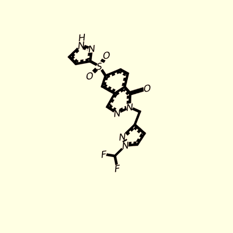 O=c1c2ccc(S(=O)(=O)c3cc[nH]n3)cc2cnn1Cc1ccn(C(F)F)n1